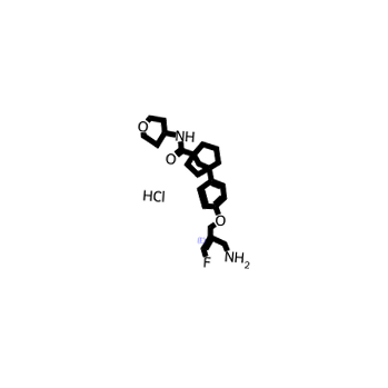 Cl.NC/C(=C\F)COc1ccc(C23CCCC(C(=O)NC4CCOCC4)(CC2)C3)cc1